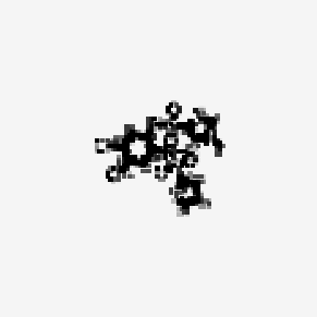 Cn1cnc(S(=O)(=O)Nc2cc(Cl)c(Cl)cc2NS(=O)(=O)c2cccs2)c1